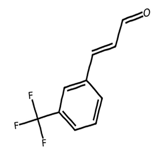 O=CC=Cc1cccc(C(F)(F)F)c1